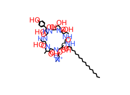 CCCCCCCCCCCCCCCCCC(=O)NC1CC(O)C(OCC[N+](C)(C)C)NC(=O)C2C(O)C(C)CN2C(=O)C(C(C)O)NC(=O)C(C(O)C(O)c2ccc(O)cc2)NC(=O)C2CC(O)CN2C(=O)C(C(C)O)NC1=O